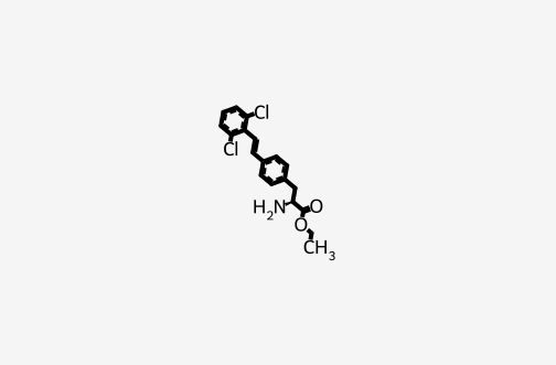 CCOC(=O)[C@@H](N)Cc1ccc(C=Cc2c(Cl)cccc2Cl)cc1